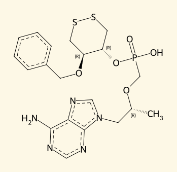 C[C@H](Cn1cnc2c(N)ncnc21)OCP(=O)(O)O[C@H]1CSSC[C@@H]1OCc1ccccc1